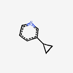 c1cncc(C2CC2)c1